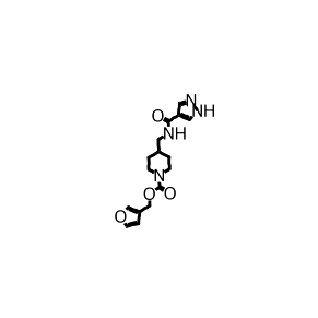 O=C(NCC1CCN(C(=O)OCc2ccoc2)CC1)c1cn[nH]c1